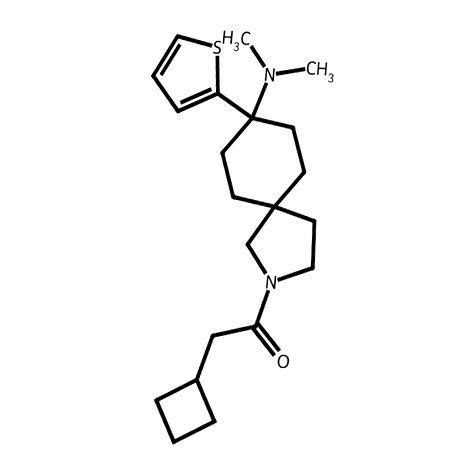 CN(C)C1(c2cccs2)CCC2(CCN(C(=O)CC3CCC3)C2)CC1